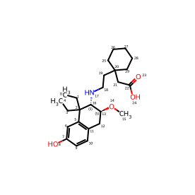 CCC1(CC)c2cc(O)ccc2C[C@H](OC)[C@H]1NCCC1(CC(=O)O)CCCCC1